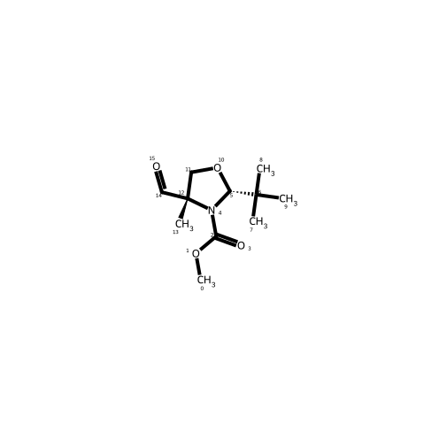 COC(=O)N1[C@@H](C(C)(C)C)OC[C@@]1(C)C=O